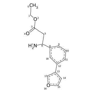 CCOC(=O)CC(N)c1cccc(-c2ccoc2)c1